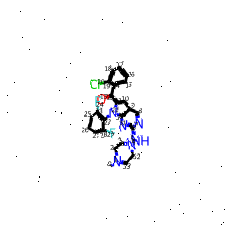 CN1CCN(Nc2ncc3cc(C(=O)c4ccccc4Cl)n(-c4c(F)cccc4F)c3n2)CC1